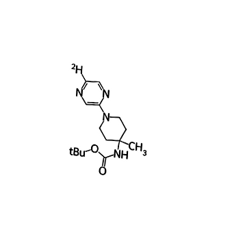 [2H]c1cnc(N2CCC(C)(NC(=O)OC(C)(C)C)CC2)cn1